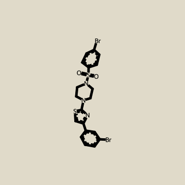 O=S(=O)(c1ccc(Br)cc1)N1CCN(c2nc(-c3cccc(Br)c3)cs2)CC1